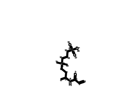 C=CC(=O)NC(C)CC[N+](C)(C)CCCS(=O)(=O)[O-]